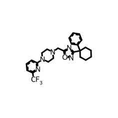 FC(F)(F)c1cccc(N2CCN(Cc3nc(C4(c5ccccc5)CCCCC4)no3)CC2)n1